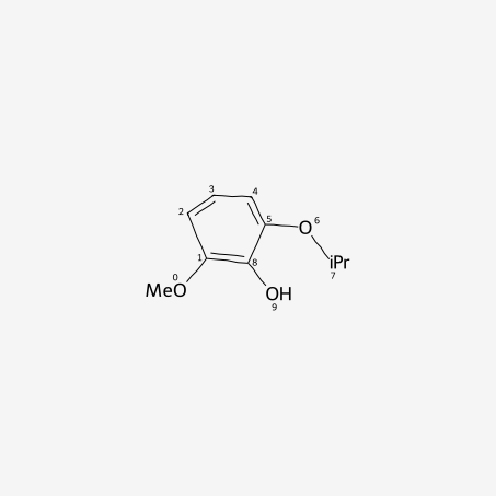 COc1cccc(OC(C)C)c1O